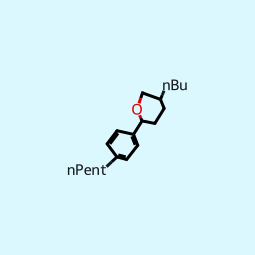 CCCCCc1ccc(C2CCC(CCCC)CO2)cc1